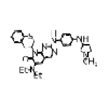 CCN(CC)c1cc2cnc(Nc3ccc(NC4CCN(C)C4)cc3)nc2n(C2CSc3ccccc3C2)c1=O